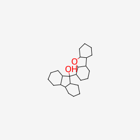 OC1(C2CCCC3C4CCCCC4OC32)C2CCCCC2C2CCCCC21